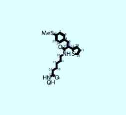 CSc1ccc(/C=C(\C(=O)NCCCCCC(=O)NO)c2cccs2)cc1